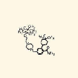 CC1(C)CC=C(c2cc(CN3CCN(CCO[Si](C)(C)C(C)(C)C)CC3)ccc2C(N)=O)CC1